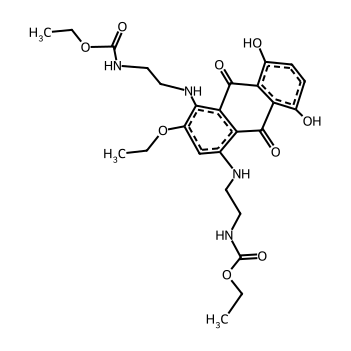 CCOC(=O)NCCNc1cc(OCC)c(NCCNC(=O)OCC)c2c1C(=O)c1c(O)ccc(O)c1C2=O